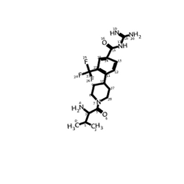 CC(C)C(N)C(=O)N1CCC(c2ccc(C(=O)NC(=N)N)cc2C(F)(F)F)CC1